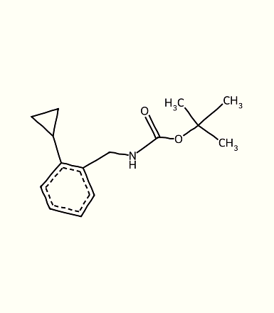 CC(C)(C)OC(=O)NCc1ccccc1C1CC1